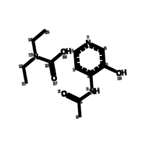 CC(=O)Nc1ccncc1O.CCN(CC)C(=O)O